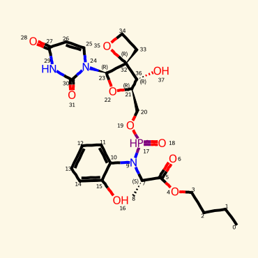 CCCCOC(=O)[C@H](C)N(c1ccccc1O)[PH](=O)OC[C@H]1O[C@@H](n2ccc(=O)[nH]c2=O)[C@@]2(CCO2)[C@@H]1O